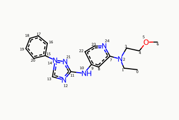 CCN(CCOC)c1cc(Nc2ncn(-c3ccccc3)n2)ccn1